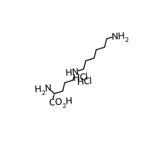 Cl.Cl.NCCCCCCNCCC[C@H](N)C(=O)O